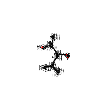 C[C@@H]1O[C@@H](OCCNC(=O)CN(CC(=O)NCCCCCNC(=O)CN(CC(=O)NCCCCCNC(=O)CN(CC(=O)NCCO[C@H]2O[C@H](CO)[C@@H](O)[C@H](O)[C@@H]2O)CC(=O)NCCO[C@H]2O[C@H](CO)[C@@H](O)[C@H](O)[C@@H]2O)CC(=O)NCCCCCC(=O)ON2C(=O)CCC2=O)CC(=O)NCCO[C@@H]2O[C@@H](C)[C@@H](O)[C@@H](O)[C@@H]2O)[C@@H](O)[C@H](O)[C@@H]1O